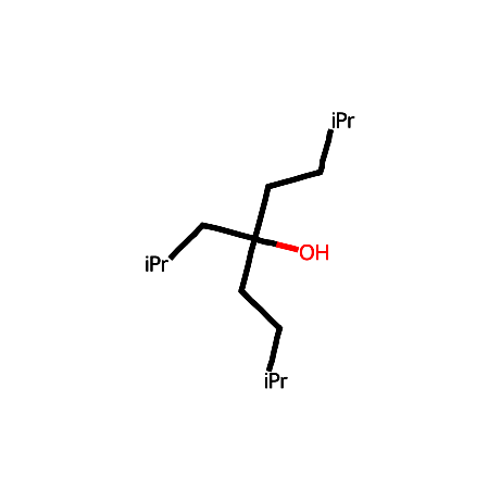 CC(C)CCC(O)(CCC(C)C)CC(C)C